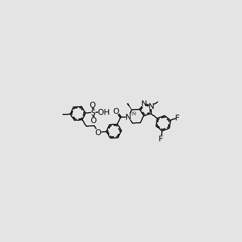 Cc1ccc(S(=O)(=O)O)c(CCOc2cccc(C(=O)N3CCc4c(nn(C)c4-c4cc(F)cc(F)c4)[C@@H]3C)c2)c1